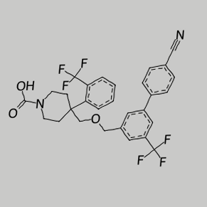 N#Cc1ccc(-c2cc(COCC3(c4ccccc4C(F)(F)F)CCN(C(=O)O)CC3)cc(C(F)(F)F)c2)cc1